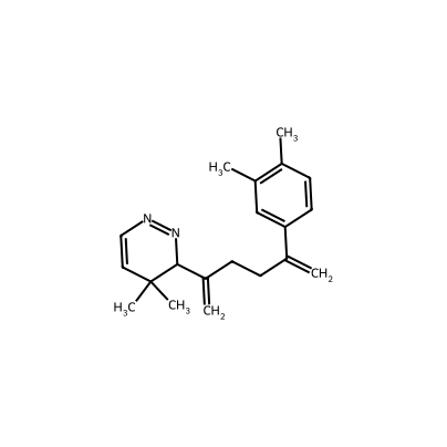 C=C(CCC(=C)C1N=NC=CC1(C)C)c1ccc(C)c(C)c1